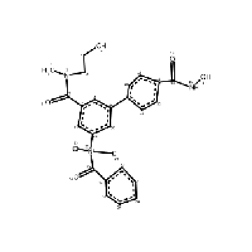 CN(CCO)C(=O)c1cc(-c2ccc(C(=O)NO)cc2)cc([N+](Cl)(Cl)C(=O)c2ccccc2)c1